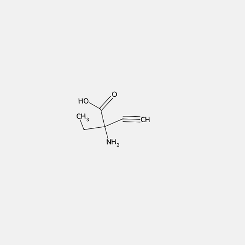 C#CC(N)(CC)C(=O)O